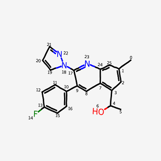 Cc1cc(C(C)O)c2cc(-c3ccc(F)cc3)c(-n3cccn3)nc2c1